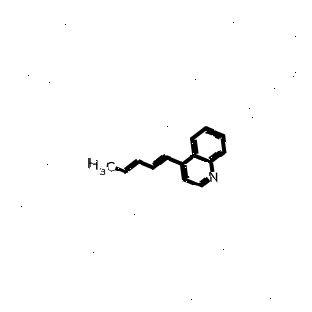 CC=CC=Cc1ccnc2ccccc12